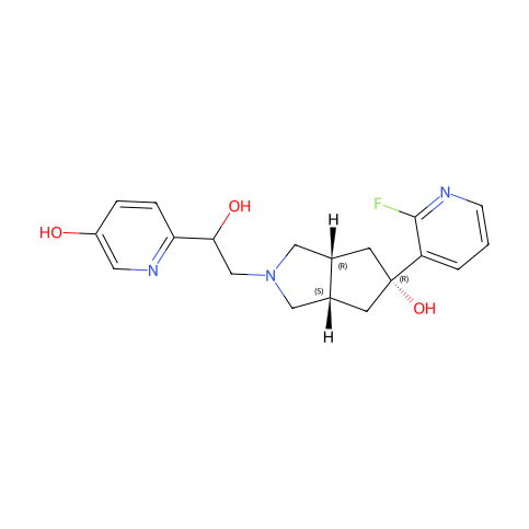 Oc1ccc(C(O)CN2C[C@@H]3C[C@@](O)(c4cccnc4F)C[C@@H]3C2)nc1